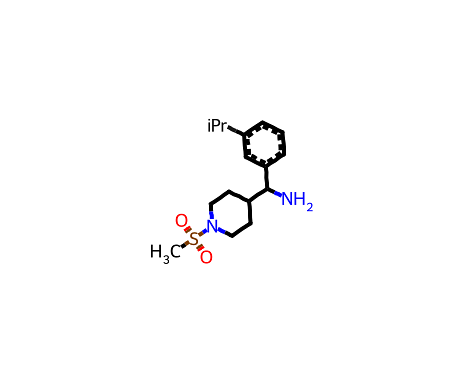 CC(C)c1cccc(C(N)C2CCN(S(C)(=O)=O)CC2)c1